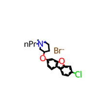 CCC[N+]1(C)CCCC(Oc2ccc3c(c2)oc2cc(Cl)ccc23)C1.[Br-]